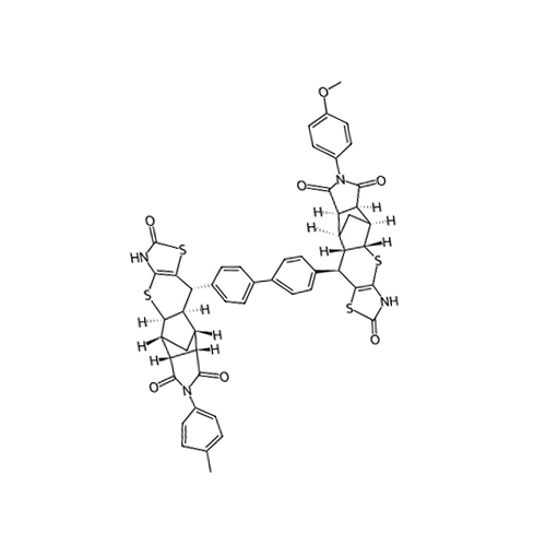 COc1ccc(N2C(=O)[C@@H]3[C@H]4C[C@H]([C@@H]5Sc6[nH]c(=O)sc6[C@@H](c6ccc(-c7ccc([C@H]8c9sc(=O)[nH]c9S[C@@H]9[C@@H]%10C[C@@H]([C@@H]%11C(=O)N(c%12ccc(C)cc%12)C(=O)[C@H]%10%11)[C@H]89)cc7)cc6)[C@H]45)[C@@H]3C2=O)cc1